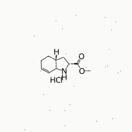 COC(=O)[C@@H]1C[C@H]2CCC=CC2N1.Cl